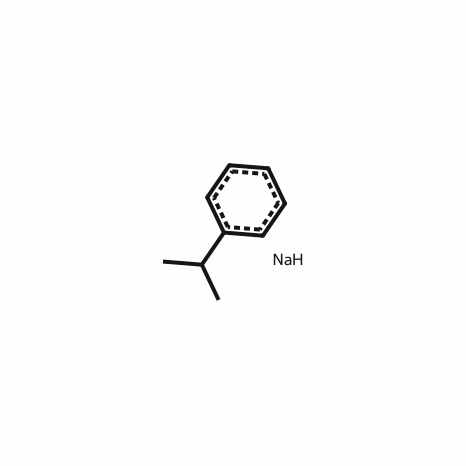 CC(C)c1ccccc1.[NaH]